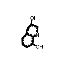 Oc1cnc2c(O)cccc2c1